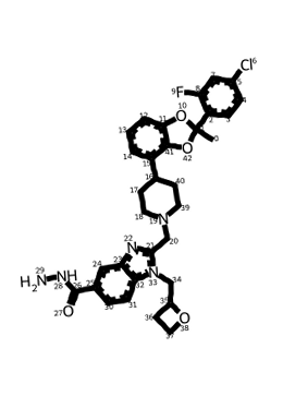 CC1(c2ccc(Cl)cc2F)Oc2cccc(C3CCN(Cc4nc5cc(C(=O)NN)ccc5n4CC4CCO4)CC3)c2O1